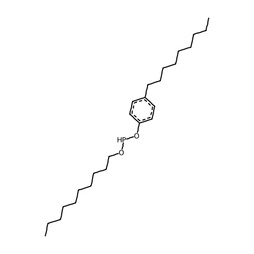 CCCCCCCCCCOPOc1ccc(CCCCCCCCC)cc1